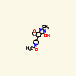 CC(=O)N1CC=C(c2cc3c(O)nc(C)nc3c3c2CCO3)CC1